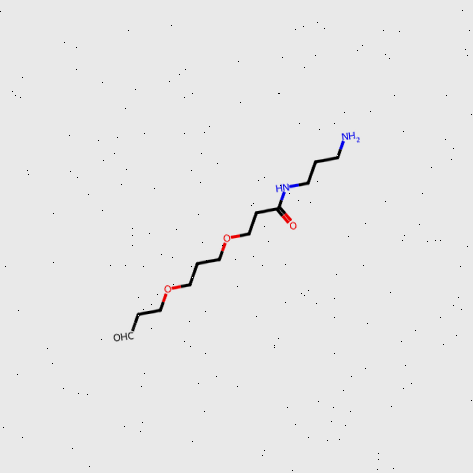 NCCCNC(=O)CCOCCCOCCC=O